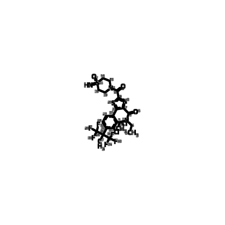 CCN(CC)C(=O)c1nc(C(=O)N2CCS(=N)(=O)CC2)sc1-c1ccc(C(C)(C(F)(F)F)C(F)(F)F)c(Cl)c1Cl